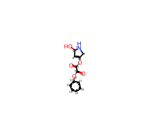 O=C(OC1=CC(O)NC1)C(=O)Oc1ccccc1